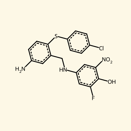 Nc1ccc(Sc2ccc(Cl)cc2)c(CNc2cc(F)c(O)c([N+](=O)[O-])c2)c1